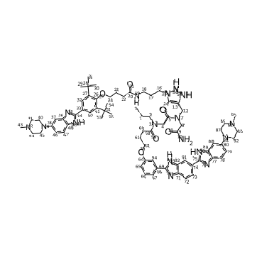 CCCN(CC(=O)N(CC(N)=O)CC1=CN(CCCNC(=O)CCCOc2c(C(C)(C)C)cc(-c3nc4cc(N5CCN(C)CC5)ccc4[nH]3)cc2C(C)(C)C)NN1)C(=O)CCCOc1cccc(-c2nc3ccc(-c4nc5ccc(N6CCN(C)CC6)cc5[nH]4)cc3[nH]2)c1